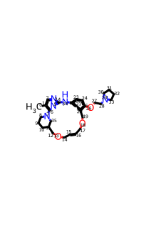 Cc1cnc2nc1N1CCCC(COC/C=C/COCc3cc(ccc3OCCN3CCCC3)N2)C1